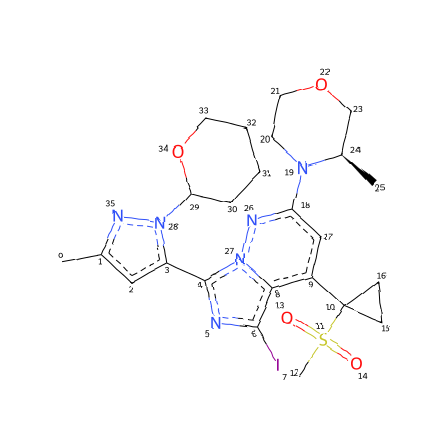 Cc1cc(-c2nc(I)c3c(C4(S(C)(=O)=O)CC4)cc(N4CCOC[C@H]4C)nn23)n(C2CCCCO2)n1